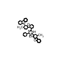 CC1CC(C2NC(C3=CC=CC4OC5=C(C=CC(C)C5N5c6ccccc6C6C=CC=CC65)C34)=NC(C3C=CC=CC3)N2C)=Cc2oc3ccccc3c21